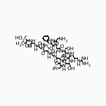 CC(C)C[C@H](NC(=O)CNC(=O)[C@@H](NC(=O)[C@H](CC(C)C)NC(=O)[C@H](CO)NC(=O)[C@H](CCCNC(=N)N)NC(=O)[C@H](CO)NC(=O)CNC(=O)[C@H](Cc1ccccc1)NC(=O)CN)C(C)C)C(=O)NCC(=O)NCC(=O)N[C@H](C(=O)O)[C@@H](C)O